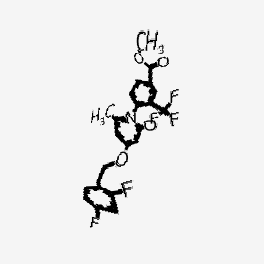 COC(=O)c1ccc(-n2c(C)cc(OCc3ccc(F)cc3F)cc2=O)c(C(F)(F)F)c1